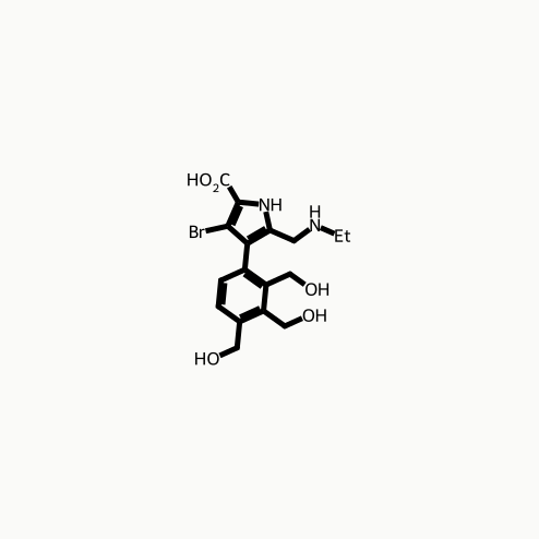 CCNCc1[nH]c(C(=O)O)c(Br)c1-c1ccc(CO)c(CO)c1CO